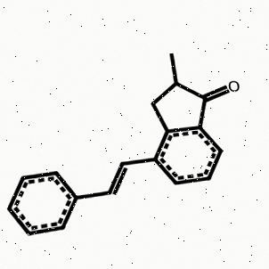 CC1Cc2c(/C=C/c3ccccc3)cccc2C1=O